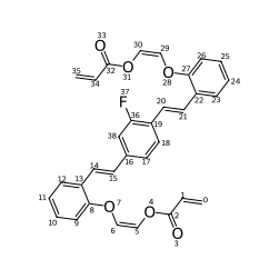 C=CC(=O)O/C=C\Oc1ccccc1/C=C/c1ccc(/C=C/c2ccccc2O/C=C\OC(=O)C=C)c(F)c1